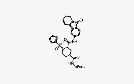 CCCCCNC(=O)N1CCN(S(=O)(=O)c2cccs2)[C@H](C(=O)Nc2ccc3c(c2)c2c(n3CC)CCC=C2)C1